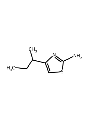 CCC(C)c1csc(N)n1